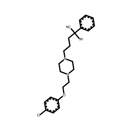 CC(C)C(C#N)(CCCN1CCN(CCOc2ccc(Cl)cc2)CC1)c1ccccc1